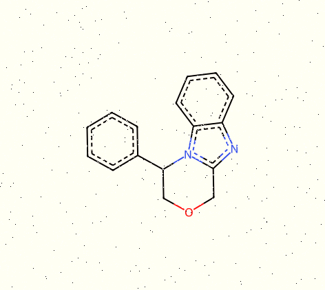 c1ccc(C2COCc3nc4ccccc4n32)cc1